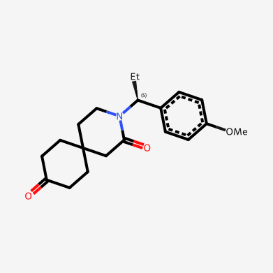 CC[C@@H](c1ccc(OC)cc1)N1CCC2(CCC(=O)CC2)CC1=O